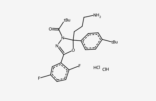 CC(C)(C)C(=O)N1N=C(c2cc(F)ccc2F)OC1(CCCN)c1ccc(C(C)(C)C)cc1.Cl.Cl